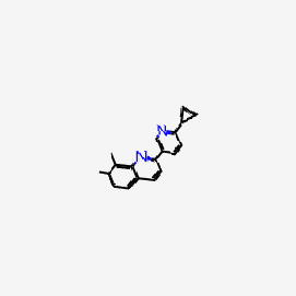 Cc1ccc2ccc(-c3ccc(C4CC4)nc3)nc2c1C